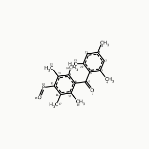 Cc1cc(C)c(C(=O)c2c(C)c(C)c(P=O)c(C)c2C)c(C)c1